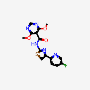 COc1ncnc(OC)c1C(=O)Nc1nc(-c2ccc(F)cn2)cs1